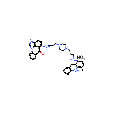 CC1=C2Nc3ccccc3C=C2C(NCCCN2CCN(CCCNc3ccc4ncn5c6ccccc6c(=O)c3c45)CC2)([N+](=O)[O-])C=C1